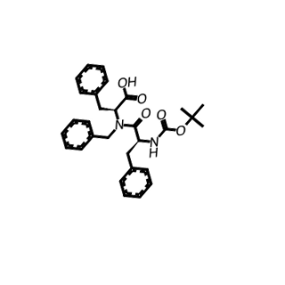 CC(C)(C)OC(=O)N[C@@H](Cc1ccccc1)C(=O)N(Cc1ccccc1)[C@@H](Cc1ccccc1)C(=O)O